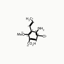 CC=Cc1c(N)c(Cl)cc(C(=O)O)c1OC